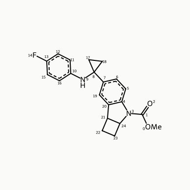 COC(=O)N1c2ccc(C3(Nc4ccc(F)cc4)CC3)cc2C2CCC21